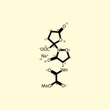 COC(=O)C(=O)N[C@H]1CON(C2(C(=O)[O-])CCC(=O)O2)C1=O.[Na+]